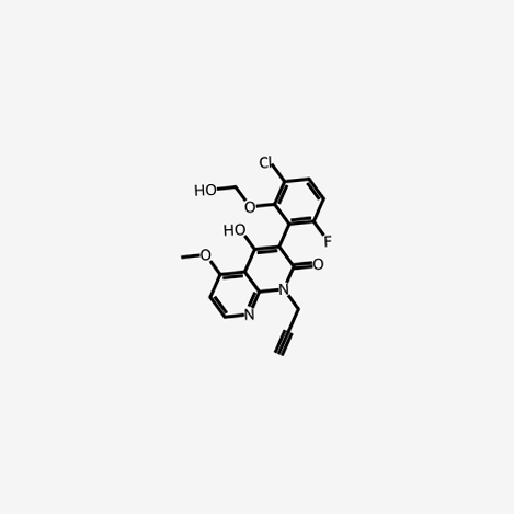 C#CCn1c(=O)c(-c2c(F)ccc(Cl)c2OCO)c(O)c2c(OC)ccnc21